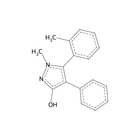 Cc1ccccc1-c1c(-c2ccccc2)c(O)nn1C